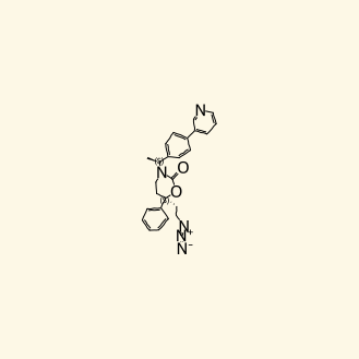 C[C@@H](c1ccc(-c2cccnc2)cc1)N1CC[C@](CCN=[N+]=[N-])(c2ccccc2)OC1=O